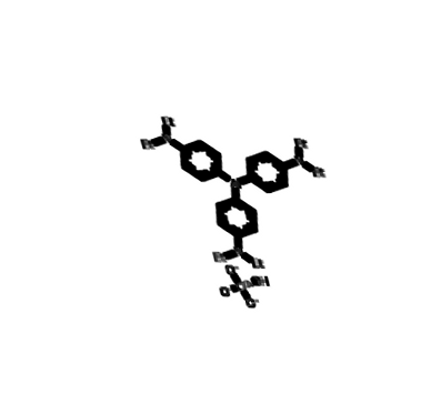 CCN(CC)c1cc[c]([Al]([c]2ccc(N(CC)CC)cc2)[c]2ccc(N(CC)CC)cc2)cc1.[O-][Cl+3]([O-])([O-])O